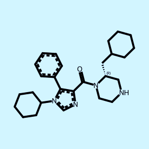 O=C(c1ncn(C2CCCCC2)c1-c1ccccc1)N1CCNC[C@H]1CC1CCCCC1